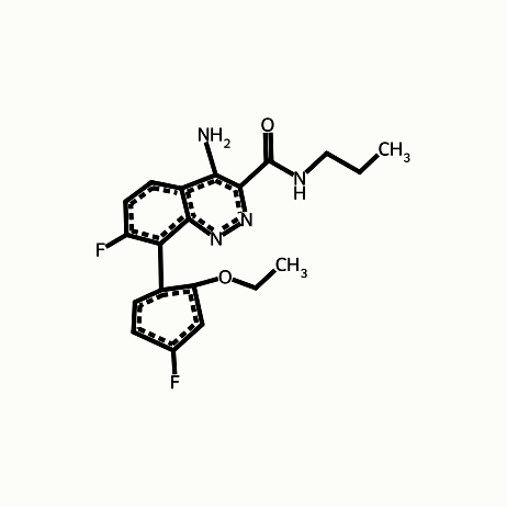 CCCNC(=O)c1nnc2c(-c3ccc(F)cc3OCC)c(F)ccc2c1N